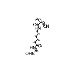 CC(C)C(OC#N)C(=O)NCCCCCC(=O)NCC=O